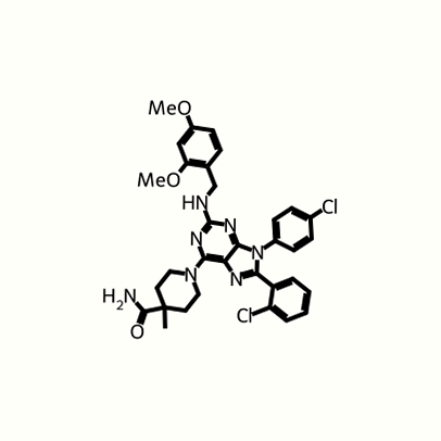 COc1ccc(CNc2nc(N3CCC(C)(C(N)=O)CC3)c3nc(-c4ccccc4Cl)n(-c4ccc(Cl)cc4)c3n2)c(OC)c1